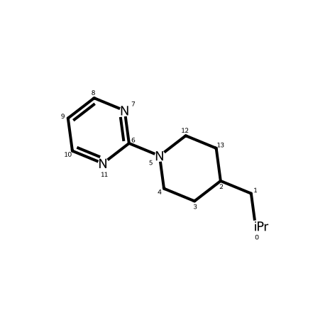 CC(C)CC1CCN(c2ncccn2)CC1